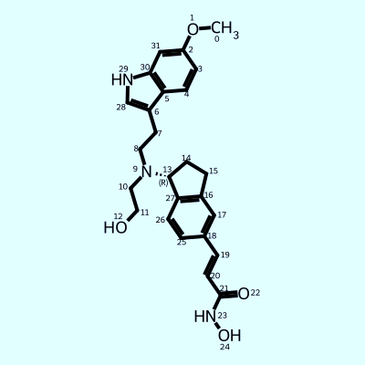 COc1ccc2c(CCN(CCO)[C@@H]3CCc4cc(C=CC(=O)NO)ccc43)c[nH]c2c1